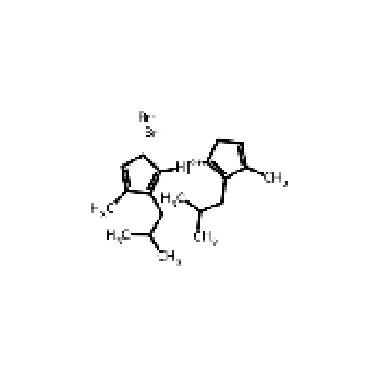 CC1=CC[C]([Hf+2][C]2=C(CC(C)C)C(C)=CC2)=C1CC(C)C.[Br-].[Br-]